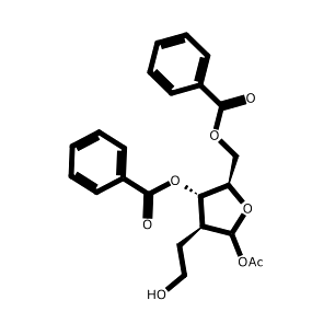 CC(=O)OC1O[C@H](COC(=O)c2ccccc2)[C@@H](OC(=O)c2ccccc2)[C@@H]1CCO